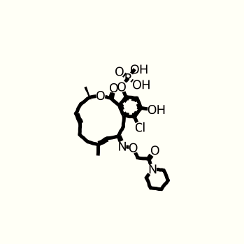 C/C1=C\C(=NOCC(=O)N2CCCCC2)Cc2c(Cl)c(O)cc(OP(=O)(O)O)c2C(=O)O[C@H](C)C/C=C/CC1